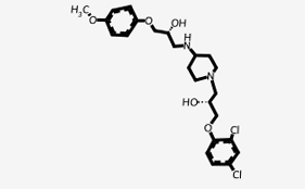 COc1ccc(OC[C@H](O)CNC2CCN(C[C@@H](O)COc3ccc(Cl)cc3Cl)CC2)cc1